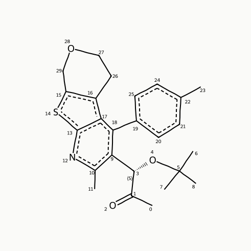 CC(=O)[C@@H](OC(C)(C)C)c1c(C)nc2sc3c(c2c1-c1ccc(C)cc1)CCOC3